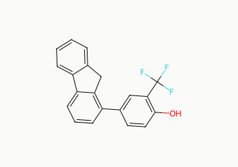 Oc1ccc(-c2cccc3c2Cc2ccccc2-3)cc1C(F)(F)F